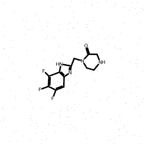 O=C1CNCCN1Cc1nc2cc(F)c(F)c(F)c2[nH]1